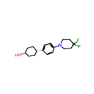 O[C@H]1CC[C@H](c2ccc(N3CCC(F)(F)CC3)cc2)CC1